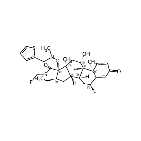 CC[C@@H]1C[C@H]2[C@@H]3C[C@H](F)C4=CC(=O)C=C[C@]4(C)[C@@]3(F)[C@@H](O)C[C@]2(C)[C@@]1(ON(C)Cc1cccs1)C(=O)SCF